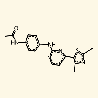 CC(=O)Nc1ccc(Nc2nccc(-c3sc(C)nc3C)n2)cc1